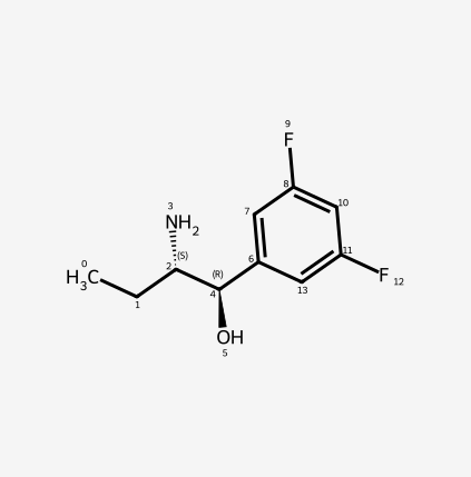 CC[C@H](N)[C@H](O)c1cc(F)cc(F)c1